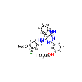 COc1ccc(CNc2nc(C3CCCCC3)nc3[nH]c4ccccc4c23)cc1Cl.O=C(O)O